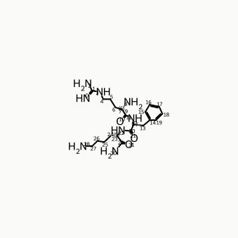 N=C(N)NCCC[C@H](N)C(=O)N[C@@H](Cc1ccccc1)C(=O)N[C@@H](CCCCN)C(N)=O